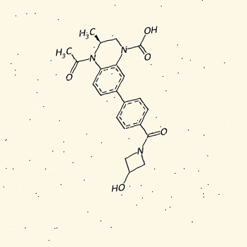 CC(=O)N1c2ccc(-c3ccc(C(=O)N4CC(O)C4)cc3)cc2N(C(=O)O)C[C@@H]1C